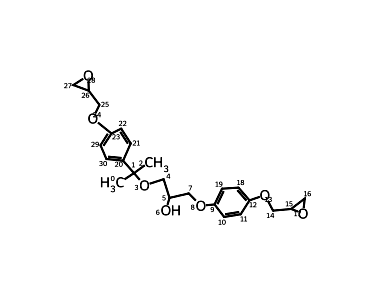 CC(C)(OCC(O)COc1ccc(OCC2CO2)cc1)c1ccc(OCC2CO2)cc1